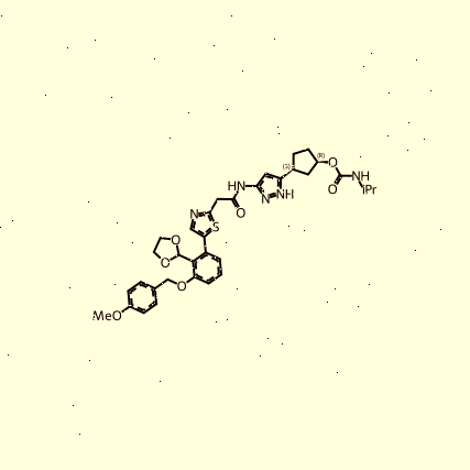 COc1ccc(COc2cccc(-c3cnc(CC(=O)Nc4cc([C@H]5CC[C@@H](OC(=O)NC(C)C)C5)[nH]n4)s3)c2C2OCCO2)cc1